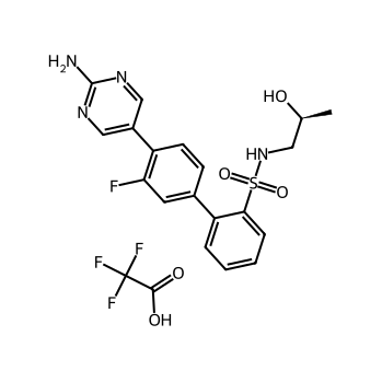 C[C@H](O)CNS(=O)(=O)c1ccccc1-c1ccc(-c2cnc(N)nc2)c(F)c1.O=C(O)C(F)(F)F